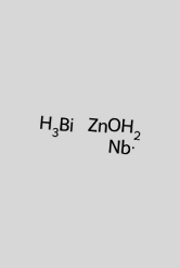 O.[BiH3].[Nb].[Zn]